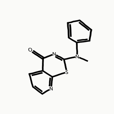 CN(c1ccccc1)c1nc(=O)c2cccnc2s1